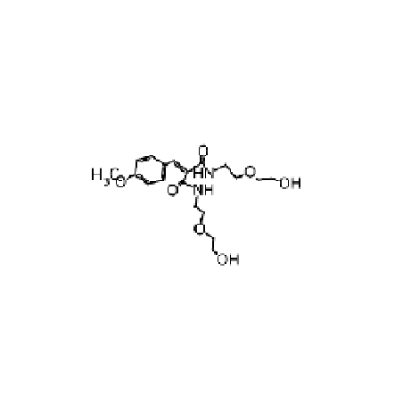 COc1ccc(C=C(C(=O)NCCOCCO)C(=O)NCCOCCO)cc1